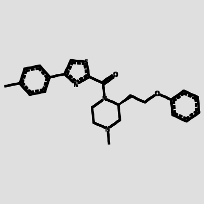 Cc1ccc(-c2csc(C(=O)N3CCN(C)C[C@@H]3CCOc3ccccc3)n2)cc1